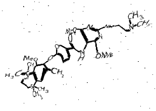 COc1nc(NCCCN(C)C)nc(OC)c1NC(=O)c1ccc(Oc2c(C)cc3c(c2OC)[Si](C)(C)CC[Si]3(C)C)o1